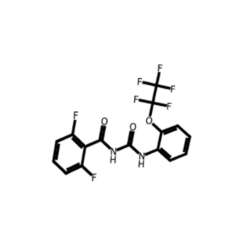 O=C(NC(=O)c1c(F)cccc1F)Nc1ccccc1OC(F)(F)C(F)(F)F